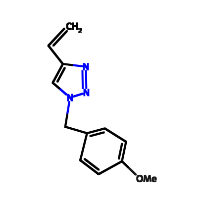 C=Cc1cn(Cc2ccc(OC)cc2)nn1